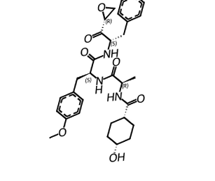 COc1ccc(C[C@H](NC(=O)[C@@H](C)NC(=O)[C@H]2CC[C@@H](O)CC2)C(=O)N[C@@H](Cc2ccccc2)C(=O)[C@H]2CO2)cc1